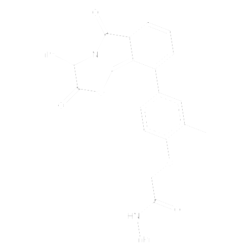 CCCNC(=O)COc1ccc(C2=CC=CC3C(=O)N4C(=C23)OC(=O)C4C(C)C)cc1C